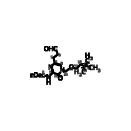 CCCCCCCCCCNc1nc(CCC=O)cn(COCC[Si](C)(C)C)c1=O